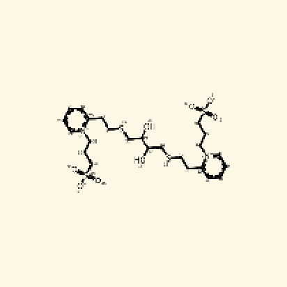 O=S(=O)([O-])CCC[n+]1ccccc1CCSCC(O)C(O)CSCCc1cccc[n+]1CCCS(=O)(=O)[O-]